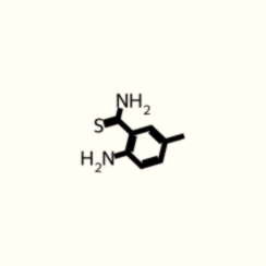 Cc1ccc(N)c(C(N)=S)c1